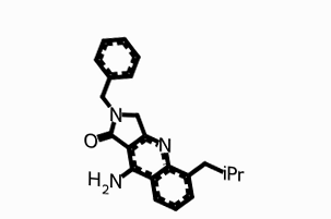 CC(C)Cc1cccc2c(N)c3c(nc12)CN(Cc1ccccc1)C3=O